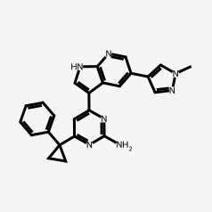 Cn1cc(-c2cnc3[nH]cc(-c4cc(C5(c6ccccc6)CC5)nc(N)n4)c3c2)cn1